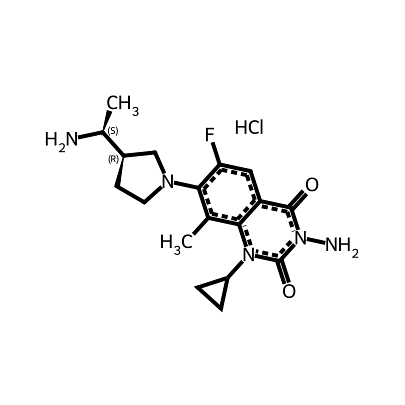 Cc1c(N2CC[C@@H]([C@H](C)N)C2)c(F)cc2c(=O)n(N)c(=O)n(C3CC3)c12.Cl